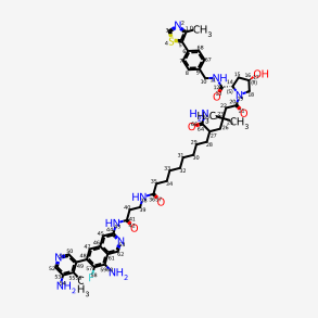 Cc1ncsc1-c1ccc(CNC(=O)[C@@H]2C[C@@H](O)CN2C(=O)CC(C)(C)CC(CCCCCCCCC(=O)NCCC(=O)Nc2cc3cc(-c4cncc(N)c4C)c(F)c(N)c3cn2)C(N)=O)cc1